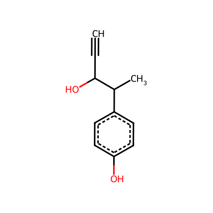 C#CC(O)C(C)c1ccc(O)cc1